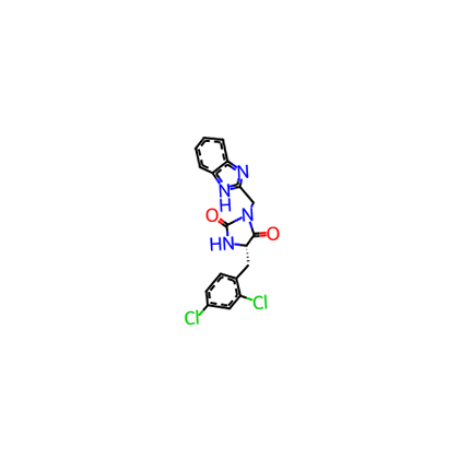 O=C1N[C@@H](Cc2ccc(Cl)cc2Cl)C(=O)N1Cc1nc2ccccc2[nH]1